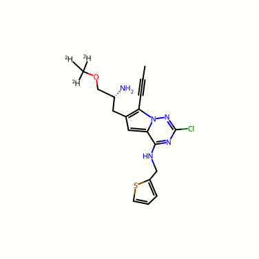 [2H]C([2H])([2H])OC[C@H](N)Cc1cc2c(NCc3cccs3)nc(Cl)nn2c1C#CC